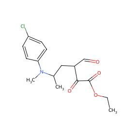 CCOC(=O)C(=O)C(C=O)CC(C)N(C)c1ccc(Cl)cc1